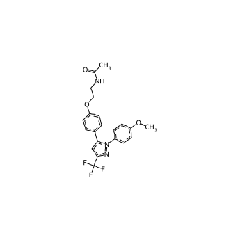 COc1ccc(-n2nc(C(F)(F)F)cc2-c2ccc(OCCNC(C)=O)cc2)cc1